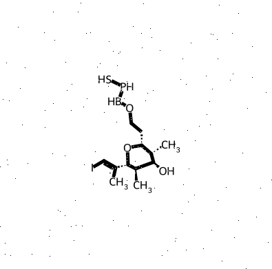 C/C(=C\I)[C@@H]1O[C@H](CCOBPS)[C@H](C)[C@@H](O)[C@H]1C